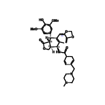 C=C1OCO/C1=C/C1=C(C)[C@@H](NC(=O)C2C=CC(CN3CCN(C)CC3)=CC2)[C@H]2COC(=O)[C@@H]2[C@@H]1c1cc(OC)c(O)c(OC)c1